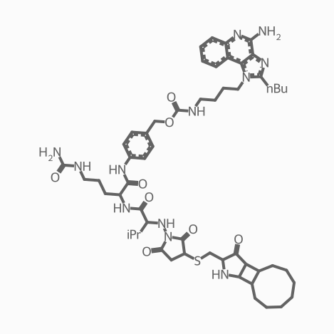 CCCCc1nc2c(N)nc3ccccc3c2n1CCCCNC(=O)OCc1ccc(NC(=O)C(CCCNC(N)=O)NC(=O)C(NN2C(=O)CC(SCC3NC4C5CCCCCCCC5C4C3=O)C2=O)C(C)C)cc1